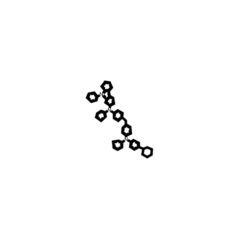 c1ccc(N(c2ccc(Cc3ccc(N(c4ccccc4)c4ccc5c6ccccc6n(-c6ccccc6)c5c4)cc3)cc2)c2ccc(C3CCCCC3)cc2)cc1